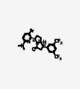 CN(C)c1ccc(Br)c([C@@H]2CC[C@H]3[C@@H](c4cc(C(F)(F)F)cc(C(F)(F)F)c4)CC(=O)N23)n1